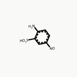 Nc1ccc(N=O)cc1S(=O)(=O)O